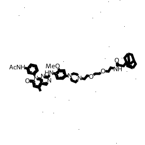 COc1cc(N2CCN(CCOCCOCCNC(=O)CC34CC5CC(CC(C5)C3)C4)CC2)ccc1Nc1ncc2c(C)cc(=O)n(-c3cccc(NC(C)=O)c3)c2n1